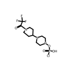 O=C(N1CCC(N2CCN(OP(=O)(O)Cl)CC2)CC1)C(F)(F)F